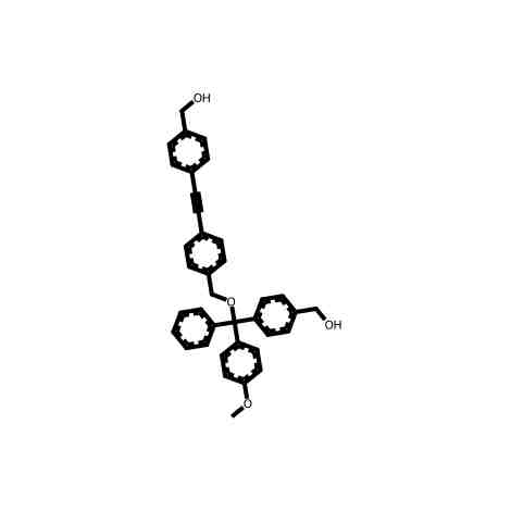 COc1ccc(C(OCc2ccc(C#Cc3ccc(CO)cc3)cc2)(c2ccccc2)c2ccc(CO)cc2)cc1